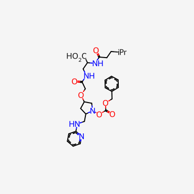 CC(C)CCC(=O)NC(CNC(=O)COC1CC(CNc2ccccn2)N(OC(=O)OCc2ccccc2)C1)C(=O)O